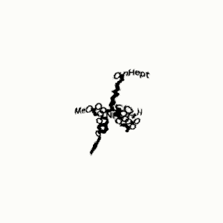 CC#CCOc1ccc(C[C@H](NC(=O)[C@@H](/C=C/CCCCCCC(=O)CCCCCCC)C(O)(CC(=O)OCc2oc(=O)oc2C)C(=O)O)C(=O)OCC(=O)OC)cc1